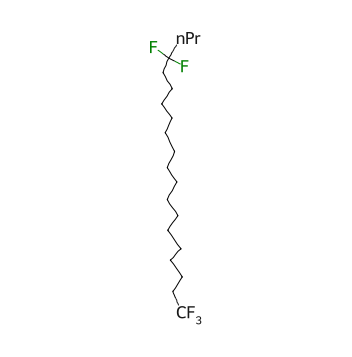 CCCC(F)(F)CCCCCCCCCCCCCCCC(F)(F)F